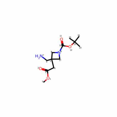 COC(=O)CC1(CN)CN(C(=O)OC(C)(C)C)C1